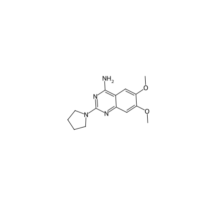 COc1cc2nc(N3CCCC3)nc(N)c2cc1OC